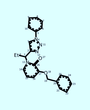 CCC(c1cn(-c2ccccc2)nn1)n1cccc(OCc2ccccc2)c1=O